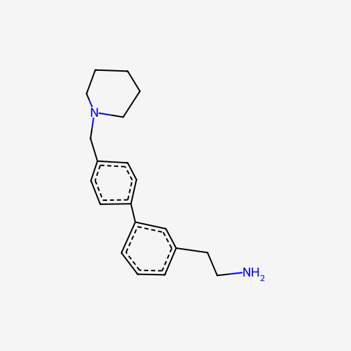 NCCc1cccc(-c2ccc(CN3CCCCC3)cc2)c1